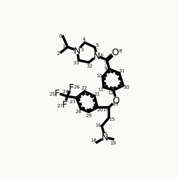 CC(C)N1CCN(C(=O)c2ccc(OC(CCN(C)C)c3ccc(C(F)(F)F)cc3)cc2)CC1